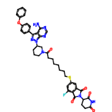 Nc1ncnc2c1c(-c1ccc(Oc3ccccc3)cc1)nn2C1CCCN(C(=O)CCCCCCCSc2cc(F)c3c(c2)C(=O)N(C2CCC(=O)NC2=O)C3=O)C1